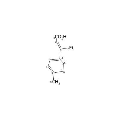 CCC(=CC(=O)O)c1ccc(C)cc1